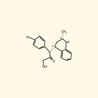 C[C@H]1C[C@@H](N(C(=O)CO)c2ccc(Cl)cc2)c2ccccc2N1